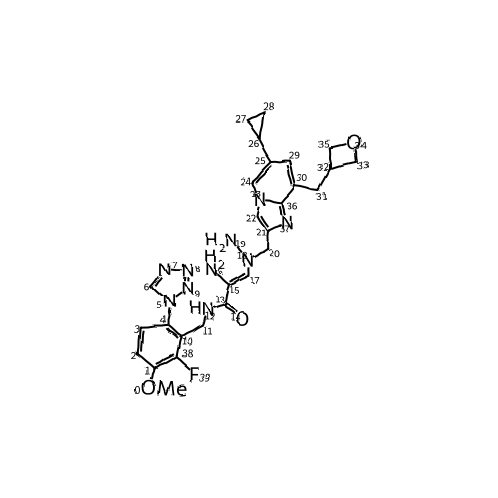 COc1ccc(-n2cnnn2)c(CNC(=O)/C(N)=C/N(N)Cc2cn3cc(C4CC4)cc(CC4COC4)c3n2)c1F